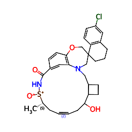 C[C@H]1C/C=C\CC(O)C2CCC2CN2CC3(CCCc4cc(Cl)ccc43)COc3ccc(cc32)C(=O)N[S+]1[O-]